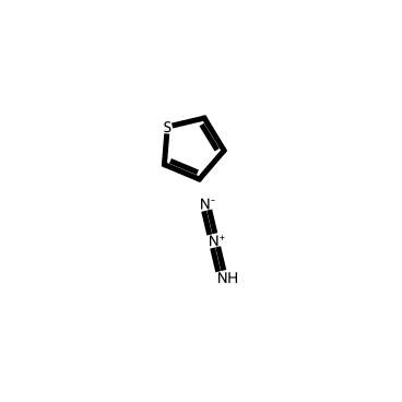 [N-]=[N+]=N.c1ccsc1